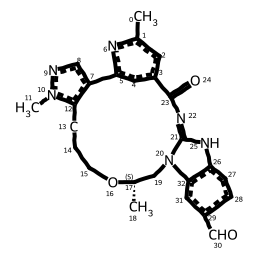 Cc1cc2cc(n1)-c1cnn(C)c1CCCO[C@@H](C)CN1C(=NC2=O)Nc2ccc(C=O)cc21